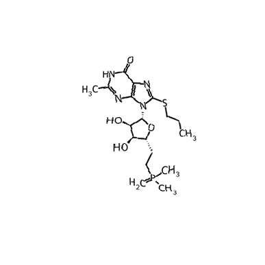 C=P(C)(C)CC[C@H]1O[C@@H](n2c(SCCC)nc3c(=O)[nH]c(C)nc32)[C@H](O)[C@@H]1O